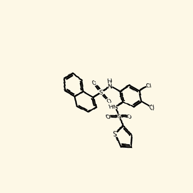 O=S(=O)(Nc1cc(Cl)c(Cl)cc1NS(=O)(=O)c1cccc2ccccc12)c1cccs1